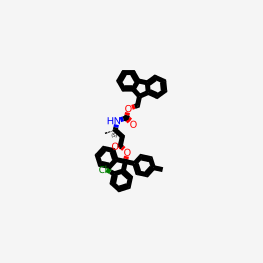 Cc1ccc(C(OC(=O)C[C@H](C)NC(=O)OCC2c3ccccc3-c3ccccc32)(c2ccccc2)c2ccccc2Cl)cc1